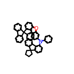 c1ccc(N(c2ccc3c(c2)oc2cccc(C4(c5ccccc5)c5ccccc5-c5ccccc54)c23)c2cccc3c2-c2ccccc2C32CCCC2)cc1